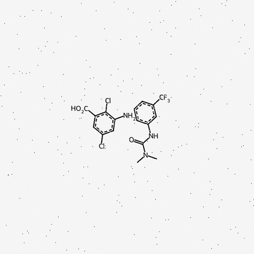 CN(C)C(=O)Nc1cccc(C(F)(F)F)c1.Nc1cc(Cl)cc(C(=O)O)c1Cl